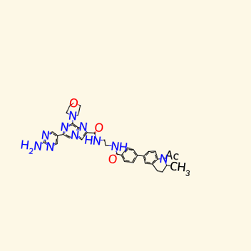 CC(=O)N1c2ccc(-c3ccc(C(=O)NCCNC(=O)c4cn5cc(-c6cnc(N)nc6)nc(N6CCOCC6)c5n4)cc3)cc2CCC1C